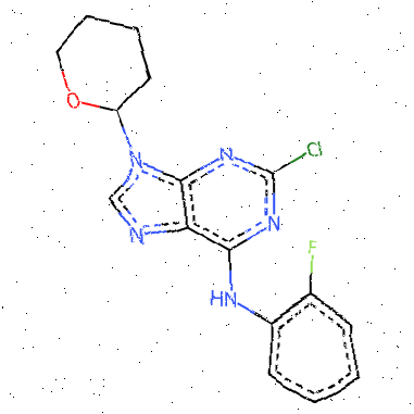 Fc1ccccc1Nc1nc(Cl)nc2c1ncn2C1CCCCO1